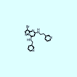 Brc1cnn2c(NCc3cccnc3)cc(NCCc3cccnc3)nc12